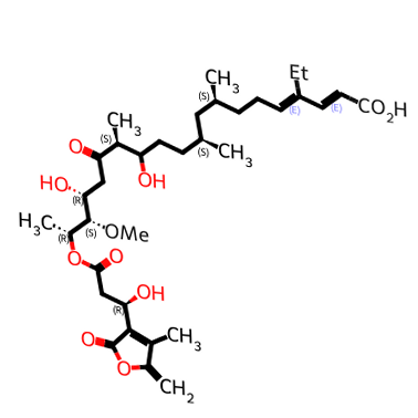 C=C1OC(=O)C([C@H](O)CC(=O)O[C@H](C)[C@@H](OC)[C@H](O)CC(=O)[C@@H](C)C(O)CC[C@H](C)C[C@@H](C)CC/C=C(/C=C/C(=O)O)CC)=C1C